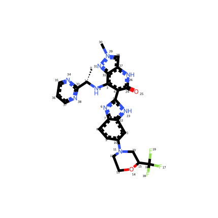 C[C@H](Nc1c(-c2nc3ccc(N4CCOC(C(F)(F)F)C4)cc3[nH]2)c(=O)[nH]c2cn(C)nc12)c1ncccn1